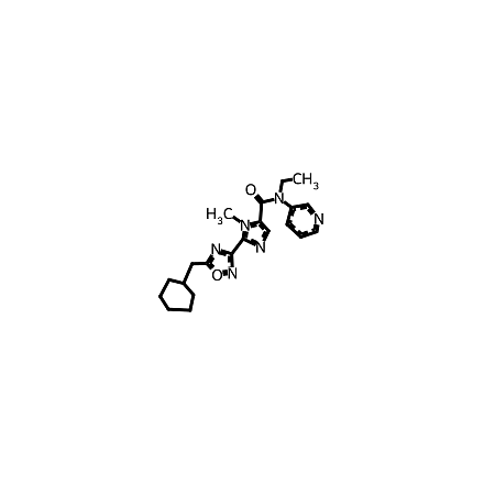 CCN(C(=O)c1cnc(-c2noc(CC3CCCCC3)n2)n1C)c1cccnc1